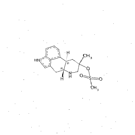 CC1(OS(C)(=O)=O)CN[C@@H]2Cc3c[nH]c4cccc(c34)[C@H]2C1